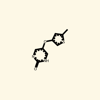 Cc1cc(Oc2cnc(=O)[nH]c2)cs1